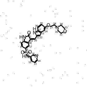 O=C1Nc2ccc(S(=O)(=O)Nc3cccnc3)cc2C1=Cc1cc2cc(OCCN3CCOCC3)ccc2[nH]1